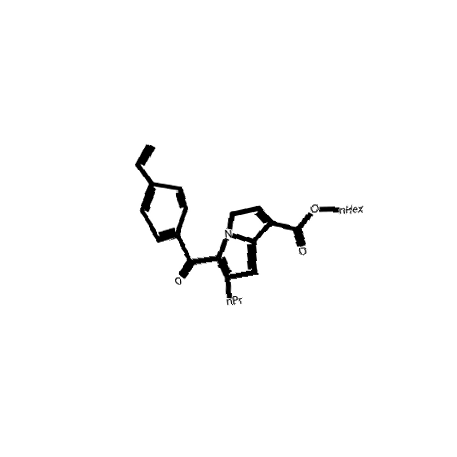 C=Cc1ccc(C(=O)c2c(CCC)cc3n2CC=C3C(=O)OCCCCCC)cc1